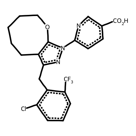 O=C(O)c1ccc(-n2nc(Cc3c(Cl)cccc3C(F)(F)F)c3c2OCCCCC3)nc1